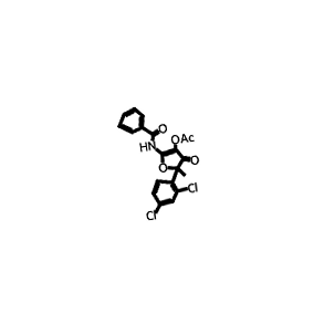 CC(=O)OC1=C(NC(=O)c2ccccc2)OC(C)(c2ccc(Cl)cc2Cl)C1=O